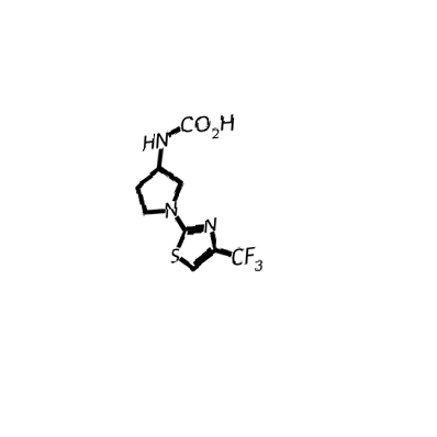 O=C(O)NC1CCN(c2nc(C(F)(F)F)cs2)C1